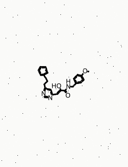 COc1ccc(CNC(=O)/C(O)=C/c2cc(CCc3ccccc3)ncn2)cc1